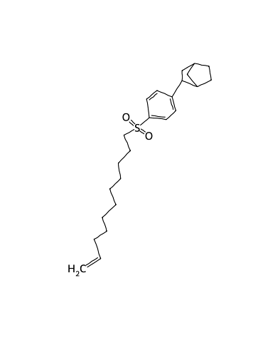 C=CCCCCCCCCCS(=O)(=O)c1ccc(C2CC3CCC2C3)cc1